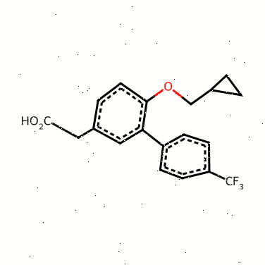 O=C(O)Cc1ccc(OCC2CC2)c(-c2ccc(C(F)(F)F)cc2)c1